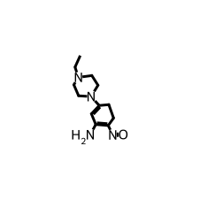 CCN1CCN(C2=CC(N)=C(N=O)CC2)CC1